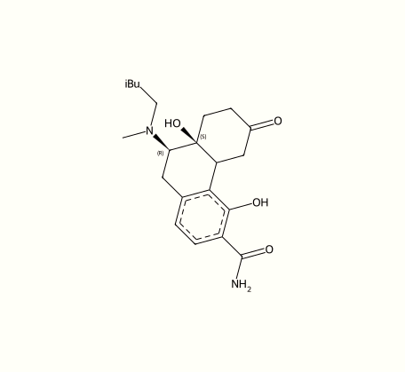 CCC(C)CN(C)[C@@H]1Cc2ccc(C(N)=O)c(O)c2C2CC(=O)CC[C@]21O